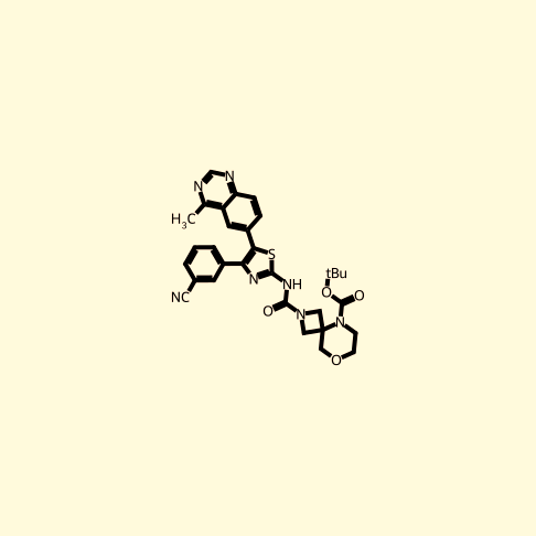 Cc1ncnc2ccc(-c3sc(NC(=O)N4CC5(COCCN5C(=O)OC(C)(C)C)C4)nc3-c3cccc(C#N)c3)cc12